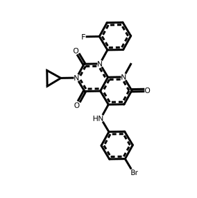 Cn1c(=O)cc(Nc2ccc(Br)cc2)c2c(=O)n(C3CC3)c(=O)n(-c3ccccc3F)c21